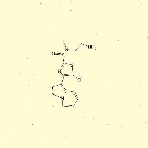 CN(CCN)C(=O)c1nc(-c2cnn3ccccc23)c(Cl)s1